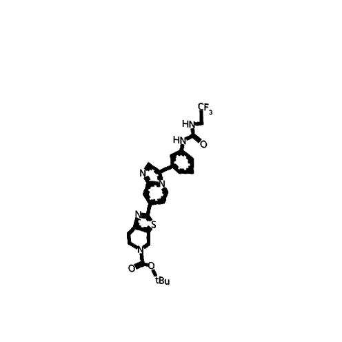 CC(C)(C)OC(=O)N1CCc2nc(-c3ccn4c(-c5cccc(NC(=O)NCC(F)(F)F)c5)cnc4c3)sc2C1